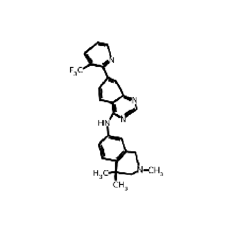 CN1Cc2cc(Nc3ncnc4cc(-c5ncccc5C(F)(F)F)ccc34)ccc2C(C)(C)C1